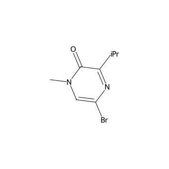 CC(C)c1nc(Br)cn(C)c1=O